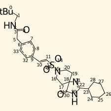 CC(C)(C)CNC(=O)Cc1ccc(C=CS(=O)(=O)N2CCC3(CC2)N=C(C2CCCCC2)NC3=O)cc1